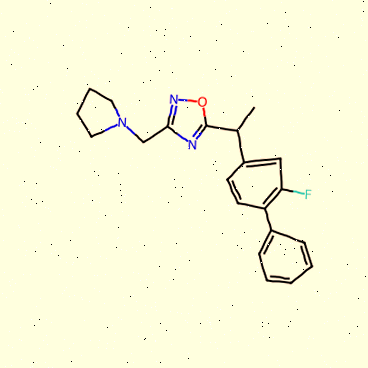 CC(c1ccc(-c2ccccc2)c(F)c1)c1nc(CN2CCCC2)no1